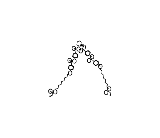 C=CC(=O)OCCCCCCCCCOc1ccc(C(=O)Oc2ccc(C(=O)O[C@@H]3CCCC[C@H]3OC(=O)c3ccc(OC(=O)c4ccc(OCCCCCCCCCOC(=O)C=C)cc4)cc3)cc2)cc1